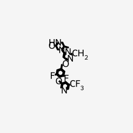 C=C1N=C(OCc2cc(F)c(Oc3cncc(C(F)(F)F)c3)c(F)c2)C=C2N1CC1CNC(=O)CN21